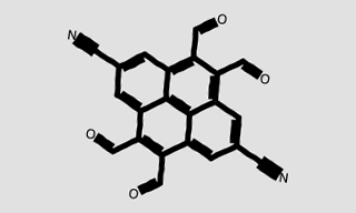 N#Cc1cc2c(C=O)c(C=O)c3cc(C#N)cc4c(C=O)c(C=O)c(c1)c2c34